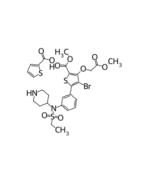 CCS(=O)(=O)N(c1cccc(-c2sc(C(=O)OC)c(OCC(=O)OC)c2Br)c1)C1CCNCC1.O=C(O)c1cccs1